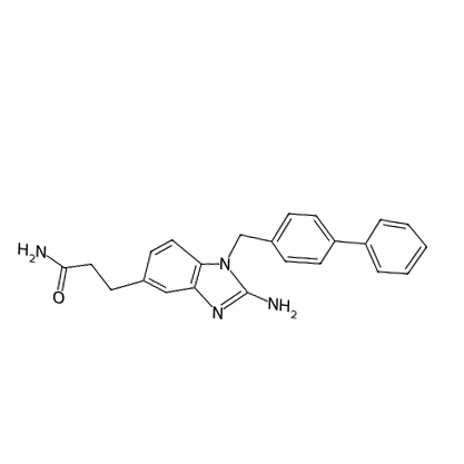 NC(=O)CCc1ccc2c(c1)nc(N)n2Cc1ccc(-c2ccccc2)cc1